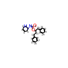 C1=CCCCC1.NC(=O)OC(CCc1ccccc1)Cc1ccccc1